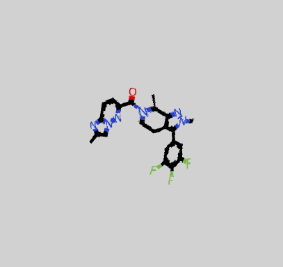 Cc1cn2nc(C(=O)N3CCc4c(nn(C)c4-c4cc(F)c(F)c(F)c4)[C@@H]3C)ccc2n1